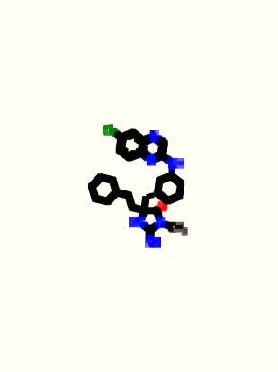 CN1C(=N)NC(CCC2CCCCC2)(C[C@H]2CCC[C@H](Nc3cnc4cc(Cl)ccc4n3)C2)C1=O